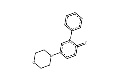 O=c1ccc(N2CCOCC2)cn1-c1ccccc1